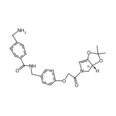 CC1(C)OC2=CN(C(=O)COc3ccc(CNC(=O)c4ccc(CN)cc4)cc3)C[C@H]2O1